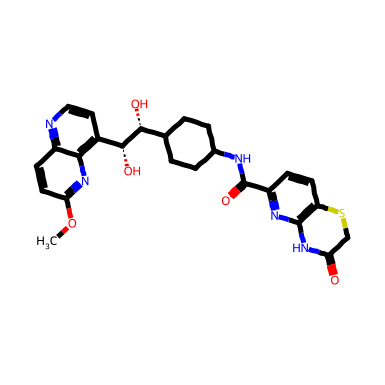 COc1ccc2nccc([C@@H](O)[C@H](O)C3CCC(NC(=O)c4ccc5c(n4)NC(=O)CS5)CC3)c2n1